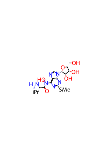 CSc1nc(N(O)C(=O)[C@@H](N)C(C)C)c2ncn([C@@H]3O[C@H](CO)[C@@H](O)[C@H]3O)c2n1